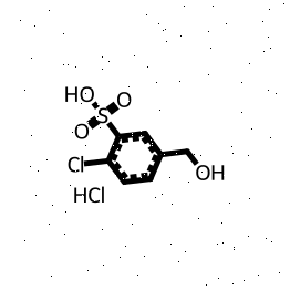 Cl.O=S(=O)(O)c1cc(CO)ccc1Cl